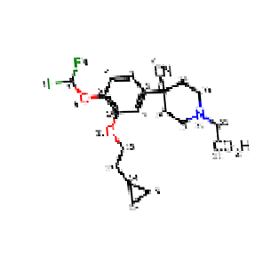 N#CC1(c2ccc(OC(F)F)c(OCCC3CC3)c2)CCN(CC(=O)O)CC1